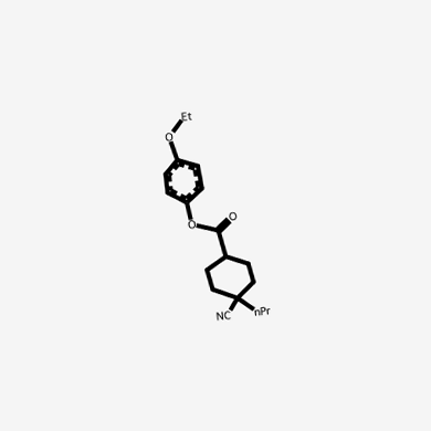 CCCC1(C#N)CCC(C(=O)Oc2ccc(OCC)cc2)CC1